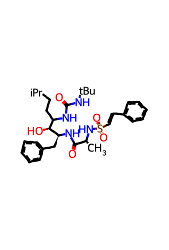 CC(C)CCC(NC(=O)NC(C)(C)C)[C@H](O)[C@H](Cc1ccccc1)NC(=O)[C@H](C)NS(=O)(=O)/C=C/c1ccccc1